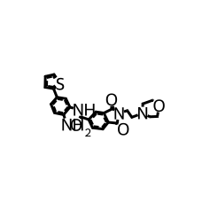 Nc1ccc(-c2cccs2)cc1NC(=O)c1ccc2c(c1)C(=O)N(CCN1CCOCC1)C2=O